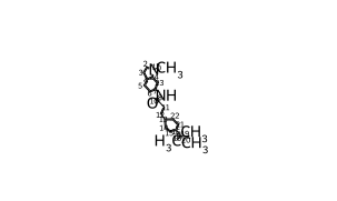 Cn1ccc2ccc(NC(=O)/C=C/c3ccc(C(C)(C)C)cc3)cc21